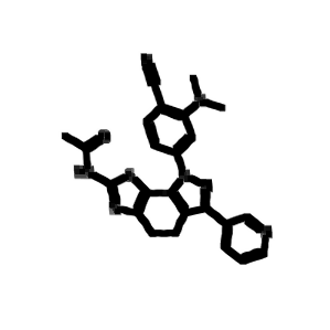 CC(=O)Nc1nc2c(s1)-c1c(c(-c3cccnc3)nn1-c1ccc(C#N)c(N(C)C)c1)CC2